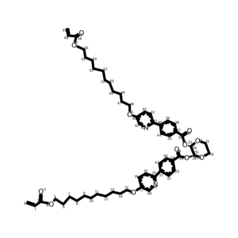 C=CC(=O)OCCCCCCCCCCCOc1ccc(-c2ccc(C(=O)O[C@@H]3OCCO[C@H]3OC(=O)c3ccc(-c4ccc(OCCCCCCCCCCCOC(=O)C=C)cn4)cc3)cc2)nc1